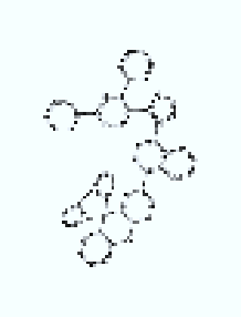 c1ccc(-c2ccc(-c3nccn3-c3ccc(-c4ccc5c(c4)C4(c6ccccc6S5)c5ccccc5-c5ccccc54)c4ccccc34)c(-c3ccccc3)n2)cc1